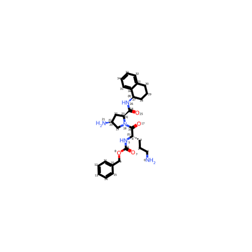 NCCC[C@H](NC(=O)OCc1ccccc1)C(=O)N1C[C@@H](N)C[C@H]1C(=O)N[C@@H]1CCCc2ccccc21